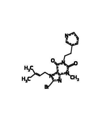 CC(C)=CCn1c(Br)nc2c1c(=O)n(CCc1cccnc1)c(=O)n2C